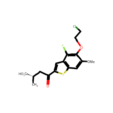 COc1cc2sc(C(=O)C[C@H](C)C(=O)O)cc2c(F)c1OCCCl